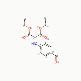 CCOC(=O)C(Nc1ccc(C=O)cc1)C(=O)OCC